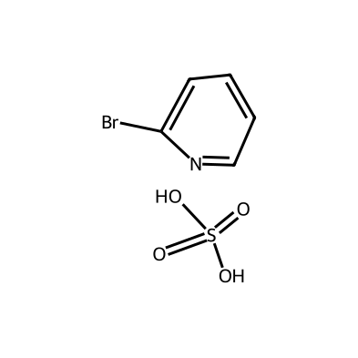 Brc1ccccn1.O=S(=O)(O)O